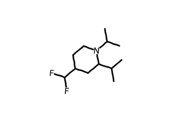 CC(C)C1CC(C(F)F)CCN1C(C)C